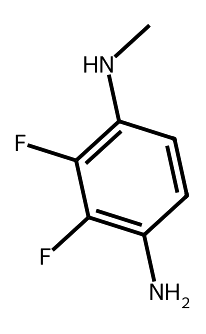 CNc1ccc(N)c(F)c1F